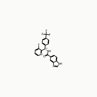 O=C(N[C@@H](c1ccc(C(F)(F)F)cc1)c1ncccc1F)c1ccc2[nH]cnc2c1